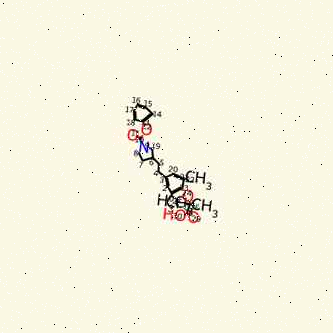 Cc1cc(CCC2CCN(C(=O)Oc3ccccc3)C2)cc(C)c1OC(C)(C)C(=O)O